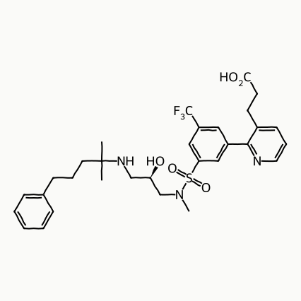 CN(C[C@H](O)CNC(C)(C)CCCc1ccccc1)S(=O)(=O)c1cc(-c2ncccc2CCC(=O)O)cc(C(F)(F)F)c1